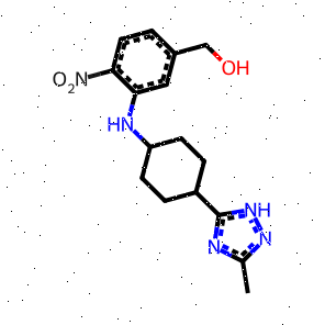 Cc1n[nH]c(C2CCC(Nc3cc(CO)ccc3[N+](=O)[O-])CC2)n1